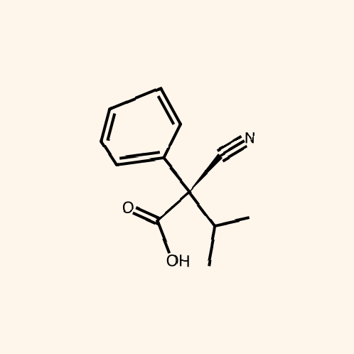 CC(C)[C@](C#N)(C(=O)O)c1ccccc1